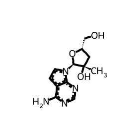 C[C@]1(O)C[C@@H](CO)O[C@@H]1n1ccc2c(N)ncnc21